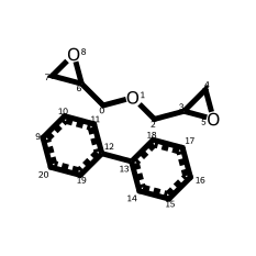 C(OCC1CO1)C1CO1.c1ccc(-c2ccccc2)cc1